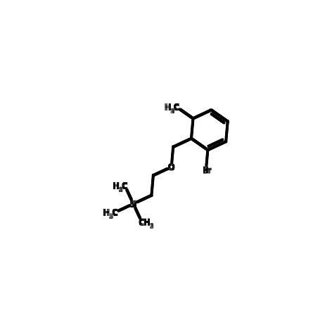 CC1C=CC=C(Br)C1COCC[Si](C)(C)C